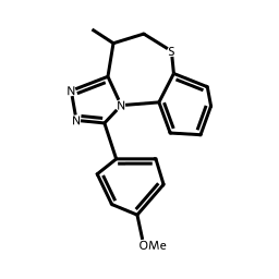 COc1ccc(-c2nnc3n2-c2ccccc2SCC3C)cc1